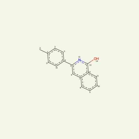 Cc1ccc(-c2cc3ccccc3c(O)n2)cc1